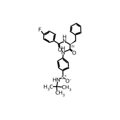 CC(C)(C)N[S+]([O-])c1ccc(NC(=O)[C@H](Cc2ccccc2)NC(=O)c2ccc(F)cc2)cc1